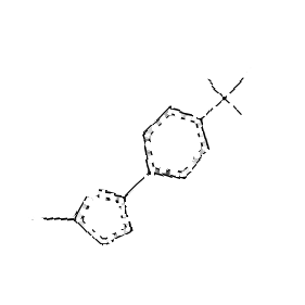 CC(C)(C)c1ccc(-c2ccc(Br)s2)cc1